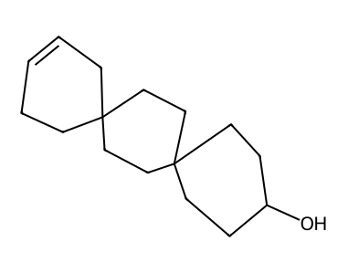 OC1CCC2(CC1)CCC1(CC=CCC1)CC2